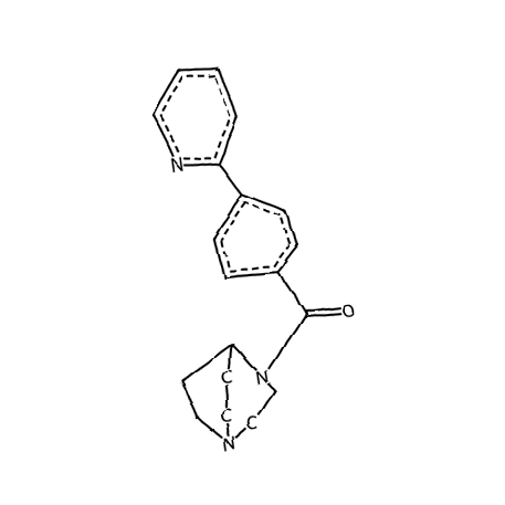 O=C(c1ccc(-c2ccccn2)cc1)N1CCN2CCC1CC2